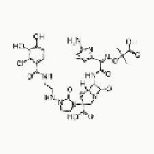 CC(C)(O/N=C(\C(=O)NC1C(=O)N2C[C@@](C(=O)O)(N3CCN(NCCNC(=O)c4ccc(O)c(O)c4Cl)C3=O)S[C@H]12)c1csc(N)n1)C(=O)O